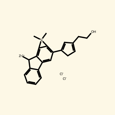 C[Si]1(C)c2c(C3=CC(CCO)=CC3)cc3c(c21)[CH]([Zr+2])c1ccccc1-3.[Cl-].[Cl-]